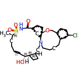 C[C@@H]1CC/C=C/[C@@H](O)[C@@H]2CC[C@H]2CN2CCCCc3cc(Cl)ccc3COc3ccc(cc32)C(=O)NS1(=O)=O